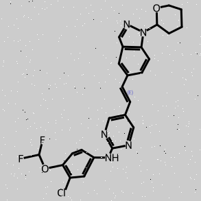 FC(F)Oc1ccc(Nc2ncc(/C=C/c3ccc4c(cnn4C4CCCCO4)c3)cn2)cc1Cl